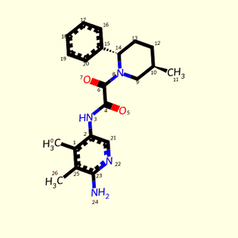 Cc1c(NC(=O)C(=O)N2C[C@H](C)CC[C@H]2c2ccccc2)cnc(N)c1C